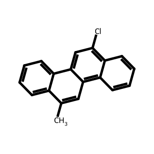 Cc1cc2c3ccccc3c(Cl)cc2c2ccccc12